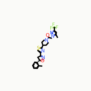 Cc1ccccc1[C@H]1CC(c2csc(C3CCN(C(=O)Cn4nc(C(F)(F)F)cc4C)CC3)n2)=NO1